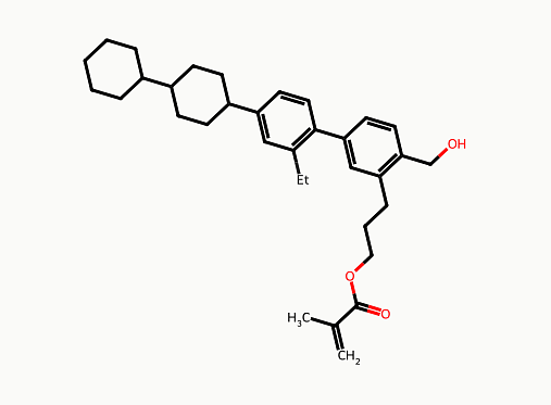 C=C(C)C(=O)OCCCc1cc(-c2ccc(C3CCC(C4CCCCC4)CC3)cc2CC)ccc1CO